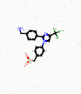 NCc1ccc(-c2nc(C(F)(F)F)cn2-c2ccc(C[SH](=O)=O)cc2)cc1